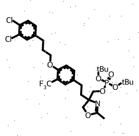 CC1=NC(CCc2ccc(OCCCc3ccc(Cl)c(Cl)c3)c(C(F)(F)F)c2)(COP(=O)(OC(C)(C)C)OC(C)(C)C)CO1